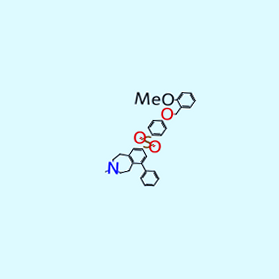 COc1ccccc1COc1ccc(S(=O)(=O)c2cc3c(c(-c4ccccc4)c2)CCN(C)CC3)cc1